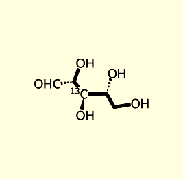 O=[13CH][C@H](O)[13C@H](O)[C@H](O)CO